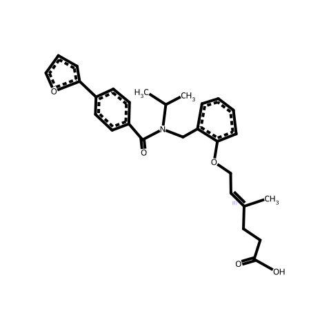 C/C(=C\COc1ccccc1CN(C(=O)c1ccc(-c2ccco2)cc1)C(C)C)CCC(=O)O